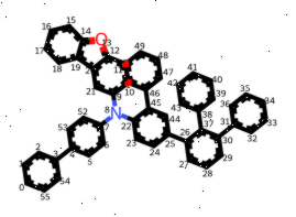 c1ccc(-c2ccc(N(c3ccc4oc5ccccc5c4c3)c3ccc(-c4cccc(-c5ccccc5)c4-c4ccccc4)cc3-c3ccccc3)cc2)cc1